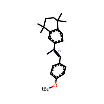 C/C(=C\c1ccc(OC(C)(C)C)cc1)c1ccc2c(c1)C(C)(C)CCC2(C)C